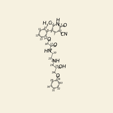 Cc1[nH]c(=O)c(C#N)cc1-c1ccccc1OCC(=O)NCCNCC(O)COc1ccccc1